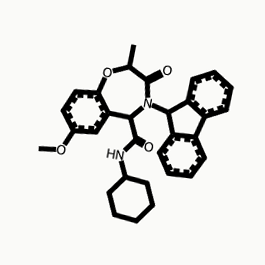 COc1ccc2c(c1)C(C(=O)NC1CCCCC1)N(C1c3ccccc3-c3ccccc31)C(=O)C(C)O2